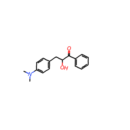 CN(C)c1ccc(CC(O)C(=O)c2ccccc2)cc1